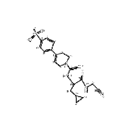 CS(=O)(=O)c1ccc(C2=CCN(C(=O)NC(CC3CC3)C(=O)NCC#N)CC2)cc1